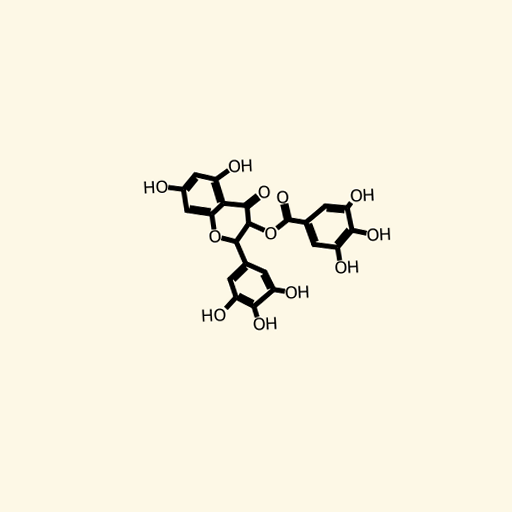 O=C(OC1C(=O)c2c(O)cc(O)cc2OC1c1cc(O)c(O)c(O)c1)c1cc(O)c(O)c(O)c1